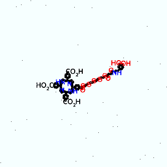 O=C(CCC(=O)OCCOCCOCCOCCOC(=O)c1ccc(-c2c3nc(c(-c4ccc(C(=O)O)cc4)c4ccc([nH]4)c(-c4ccc(C(=O)O)cc4)c4nc(c(-c5ccc(C(=O)O)cc5)c5ccc2[nH]5)C=C4)C=C3)cc1)NCCc1ccc(O)c(O)c1